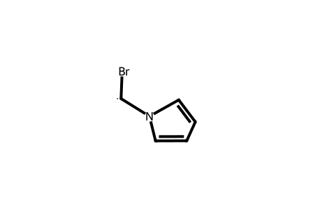 Br[CH]n1cccc1